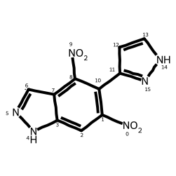 O=[N+]([O-])c1cc2[nH]n[c]c2c([N+](=O)[O-])c1-c1cc[nH]n1